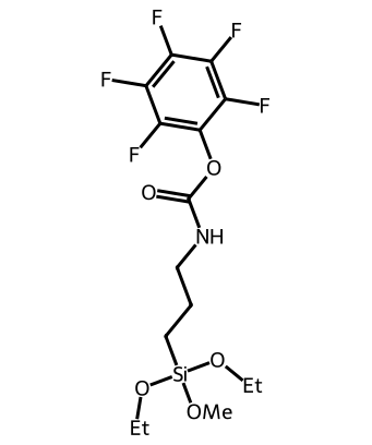 CCO[Si](CCCNC(=O)Oc1c(F)c(F)c(F)c(F)c1F)(OC)OCC